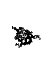 CC(C)c1ccc(CN(C)C(=O)CS(=O)(=O)ONC(=N)N)cc1S(C)(=O)=O